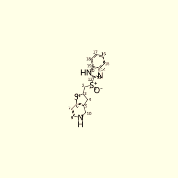 [O-][S+](CC1CC2=C(C=CNC2)S1)c1nc2ccccc2[nH]1